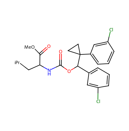 COC(=O)C(CC(C)C)NC(=O)OC(c1cccc(Cl)c1)C1(c2cccc(Cl)c2)CC1